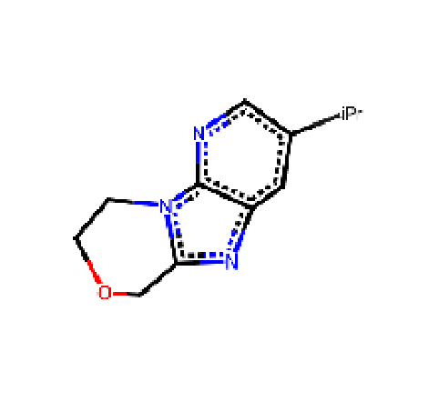 CC(C)c1cnc2c(c1)nc1n2CCOC1